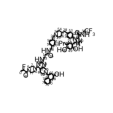 C=C(F)C(=O)N1CCN(c2nc(NCCC(=O)NCc3ccc(CN4CCC(Cc5ccc(-n6c(C(=O)NCC(F)(F)F)nnc6-c6cc(C(C)C)c(O)cc6O)cc5)CC4)cc3)nc3c2CCN(c2cc(O)cc4ccccc24)C3)CC1